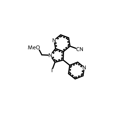 COCn1c(I)c(-c2cccnc2)c2c(C#N)ccnc21